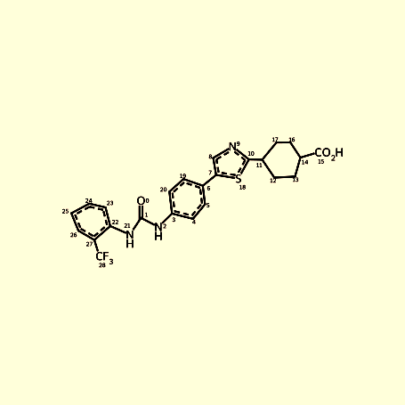 O=C(Nc1ccc(-c2cnc(C3CCC(C(=O)O)CC3)s2)cc1)Nc1ccccc1C(F)(F)F